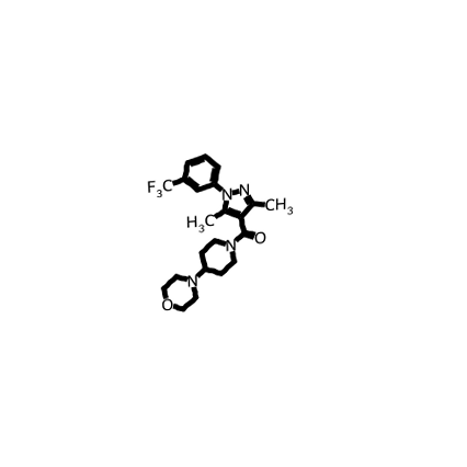 Cc1nn(-c2cccc(C(F)(F)F)c2)c(C)c1C(=O)N1CCC(N2CCOCC2)CC1